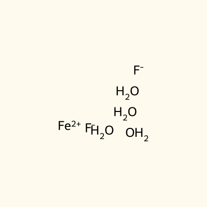 O.O.O.O.[F-].[F-].[Fe+2]